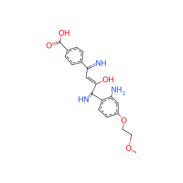 COCCOc1ccc(C(=N)/C(O)=C/C(=N)c2ccc(C(=O)O)cc2)c(N)c1